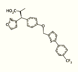 CC(C(=O)O)[C@@H](c1ccc(OCc2ccc(-c3ccc(C(F)(F)F)cc3)s2)cc1)c1ccon1